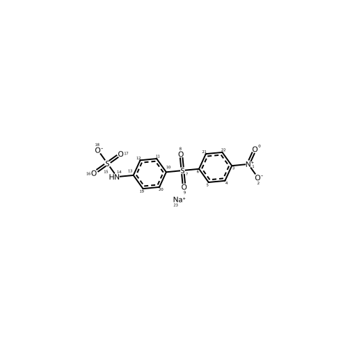 O=[N+]([O-])c1ccc(S(=O)(=O)c2ccc(NS(=O)(=O)[O-])cc2)cc1.[Na+]